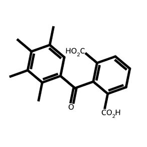 Cc1cc(C(=O)c2c(C(=O)O)cccc2C(=O)O)c(C)c(C)c1C